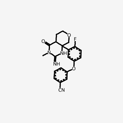 CN1C(=N)NC2(c3cc(Oc4cccc(C#N)c4)ccc3F)COCCC2C1=O